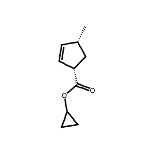 C[C@H]1C=C[C@@H](C(=O)OC2CC2)C1